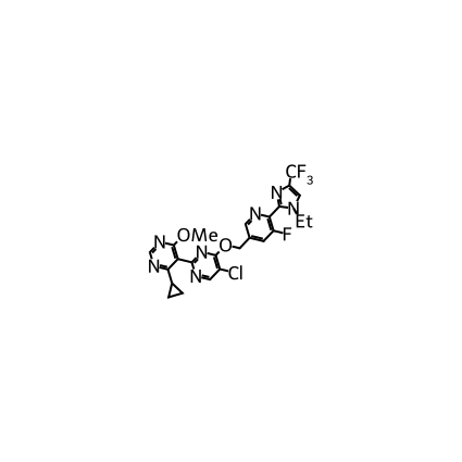 CCn1cc(C(F)(F)F)nc1-c1ncc(COc2nc(-c3c(OC)ncnc3C3CC3)ncc2Cl)cc1F